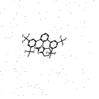 FC(F)(F)c1cc(-c2cccc(-c3cc(C(F)(F)F)cc(C(F)(F)F)c3)c2-n2c3c(sc2=S)CCCC3)cc(C(F)(F)F)c1